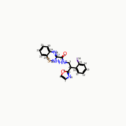 O=C(NCC(c1ncco1)c1ccccc1I)C1=Nc2ccccc2SN1